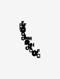 O=C(COc1ccc(C(F)(F)F)nc1)NC1CC2(NC(=O)COc3ccc(Cl)c(F)c3)CC1C2